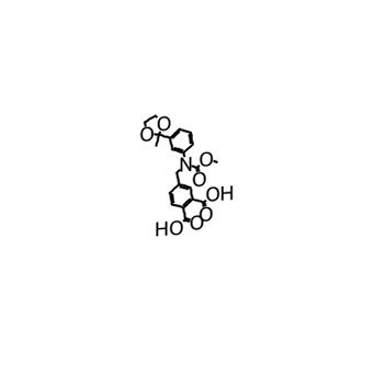 COC(=O)N(Cc1ccc(C(=O)O)c(C(=O)O)c1)c1cccc(C2(C)OCCO2)c1